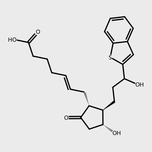 O=C(O)CCCC=CC[C@H]1C(=O)C[C@@H](O)[C@@H]1CCC(O)c1cc2ccccc2s1